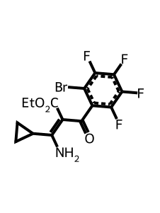 CCOC(=O)C(C(=O)c1c(F)c(F)c(F)c(F)c1Br)=C(N)C1CC1